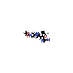 Cc1c(-c2cc(O[C@H](C)C3CCC3)c3c(C#N)cnn3c2)cnn1C1CCN(C(=O)OC(C)(C)C)CC1